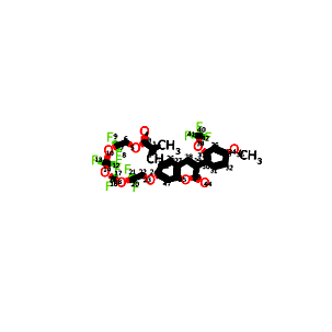 C=C(C)C(=O)OCC(F)(F)OC(F)(F)OC(F)(F)OC(F)(F)COc1ccc2cc(-c3ccc(OC)cc3OC(F)(F)F)c(=O)oc2c1